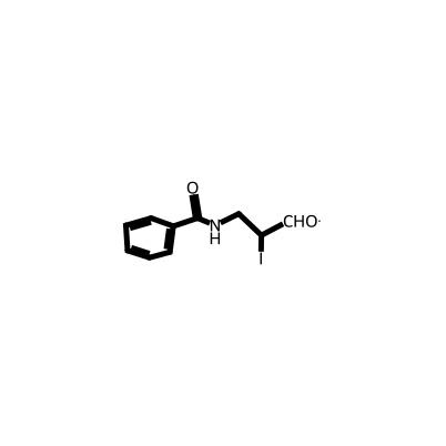 O=[C]C(I)CNC(=O)c1ccccc1